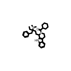 CCC(CCC1c2[nH]c3ccccc3c2CCN1C(=O)C1CCCCC1)(Cc1ccccc1)N(C)C